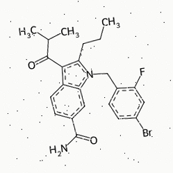 CCCc1c(C(=O)C(C)C)c2ccc(C(N)=O)cc2n1Cc1ccc(Br)cc1F